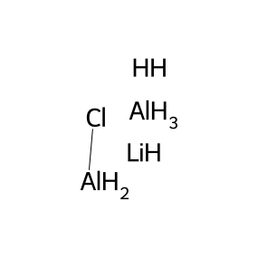 [AlH2][Cl].[AlH3].[HH].[LiH]